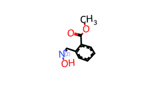 COC(=O)c1ccccc1/C=N\O